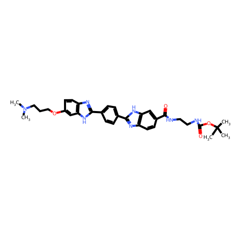 CN(C)CCCOc1ccc2nc(-c3ccc(-c4nc5ccc(C(=O)NCCNC(=O)OC(C)(C)C)cc5[nH]4)cc3)[nH]c2c1